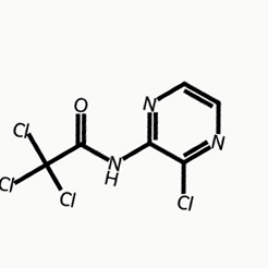 O=C(Nc1nccnc1Cl)C(Cl)(Cl)Cl